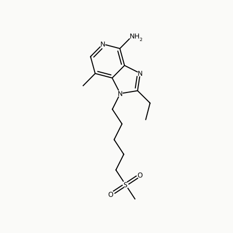 CCc1nc2c(N)ncc(C)c2n1CCCCCS(C)(=O)=O